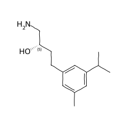 Cc1cc(CC[C@H](O)CN)cc(C(C)C)c1